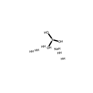 OB(O)O.[HH].[HH].[HH].[HH].[HH].[NaH]